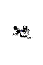 CCCCC(C)(C)[C@@H](/C=C/[C@@H]1[C@@H](CC=C=CCCC(=O)OC)[C@@H](OC(C)=O)C[C@H]1OC1CCCCO1)OC1CCCCO1